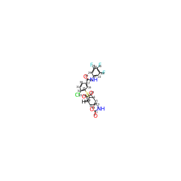 O=C1NC[C@]2(CC3CC[C@@H](C2)C3S(=O)(=O)c2cc(C(=O)Nc3cc(F)c(F)c(F)c3)ccc2Cl)O1